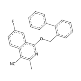 Cc1nc(OCc2ccccc2-c2ccccc2)c2cc(F)ccc2c1C#N